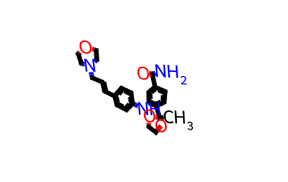 CC1(c2ccc(C(N)=O)cc2Nc2ccc(C=CCN3CCOCC3)cc2)OCCO1